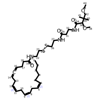 CCCCC/C=C\C/C=C\C/C=C\CC=C=CCCC(=O)NCCSSCCNC(=O)CCNC(=O)C(OC)C(C)(C)COC